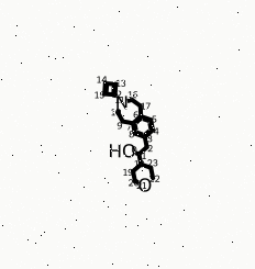 OC(Cc1ccc2c(c1)CCN(C1=CC=C1)CC2)C1CCOCC1